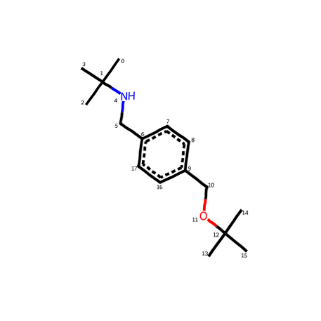 CC(C)(C)NCc1ccc(COC(C)(C)C)cc1